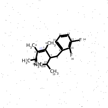 C=C(C)/C(C)=C(/C)C(Cc1cccc(F)c1F)C(C)C